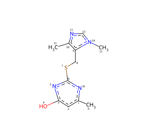 Cc1cc(O)nc(SCc2c(C)ncn2C)n1